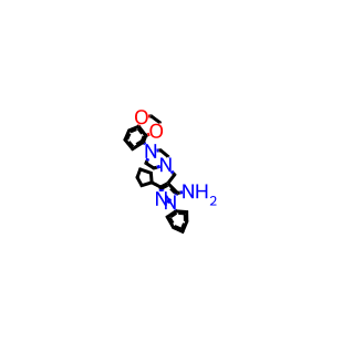 Nc1c(CN2CCN(c3cccc4c3OCCO4)CC2)c(C2CCCC2)nn1-c1ccccc1